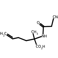 C=CCCC(C)(NC(=O)CC#N)C(=O)O